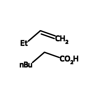 C=CCC.CCCCCC(=O)O